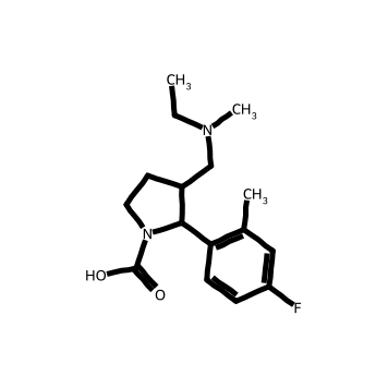 CCN(C)CC1CCN(C(=O)O)C1c1ccc(F)cc1C